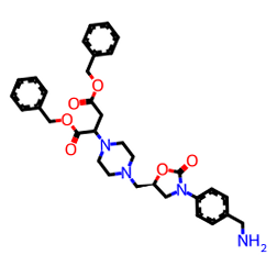 NCc1ccc(N2C[C@@H](CN3CCN(C(CC(=O)OCc4ccccc4)C(=O)OCc4ccccc4)CC3)OC2=O)cc1